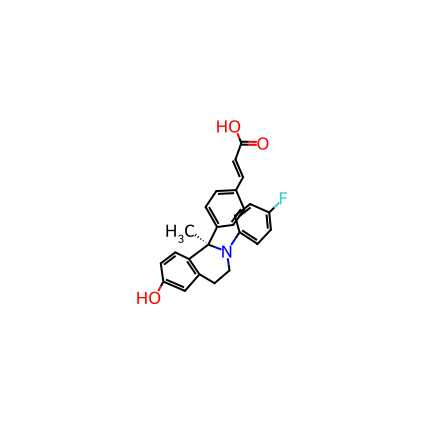 C[C@@]1(c2ccc(C=CC(=O)O)cc2)c2ccc(O)cc2CCN1c1ccc(F)cc1